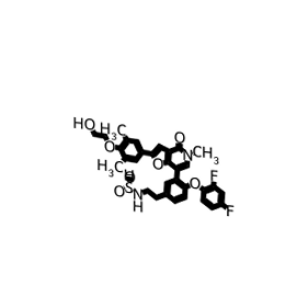 Cc1cc(-c2cc3c(=O)n(C)cc(-c4cc(CCN[SH](=O)=O)ccc4Oc4ccc(F)cc4F)c3o2)cc(C)c1OCCO